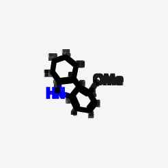 COc1cccc2[nH]c3c(c12)CCCC3